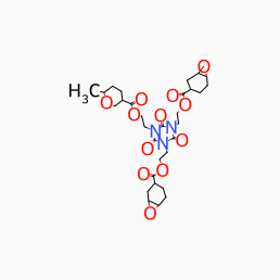 CC1CCC(C(=O)OCCn2c(=O)n(CCOC(=O)C3CCC4OC4C3)c(=O)n(CCOC(=O)C3CCC4OC4C3)c2=O)CO1